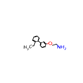 CCc1ccccc1-c1cccc(OCCN)c1